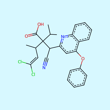 CC(C)C(C(=O)O)(C(C)C=C(Cl)Cl)C(C#N)c1cc(Oc2ccccc2)c2ccccc2n1